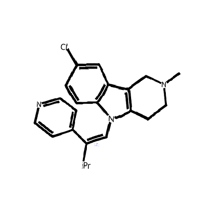 CC(C)/C(=C/n1c2c(c3cc(Cl)ccc31)CN(C)CC2)c1ccncc1